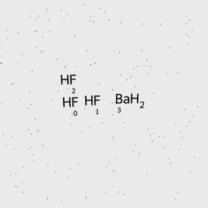 F.F.F.[BaH2]